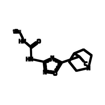 CC(C)(C)NC(=O)Nc1noc(C2CN3CCC2CC3)n1